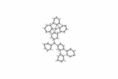 c1ccc(-c2ccc(N(c3ccccc3)c3ccc4c(c3)-c3ccccc3C43c4ccccc4-c4ccccc43)cc2-c2ccccc2)cc1